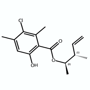 C=C[C@H](C)[C@@H](C)OC(=O)c1c(O)cc(C)c(Cl)c1C